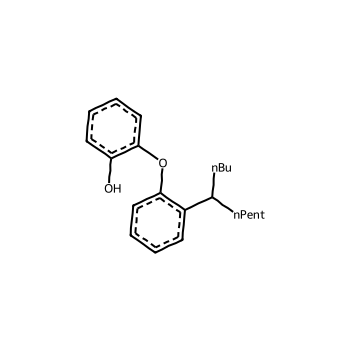 CCCCCC(CCCC)c1ccccc1Oc1ccccc1O